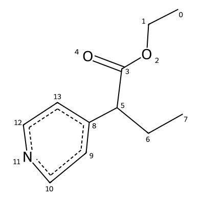 CCOC(=O)C(CC)c1ccncc1